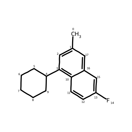 Cc1cc(C2CCCCC2)c2ccc(F)cc2c1